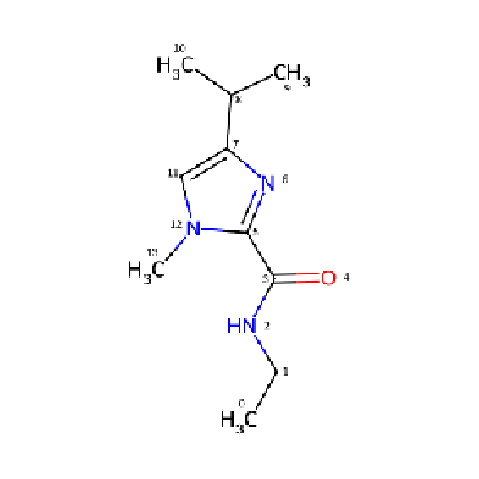 CCNC(=O)c1nc(C(C)C)cn1C